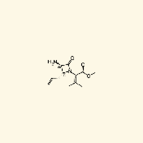 C=CC[C@@H]1[C@@H](N)C(=O)N1C(C(=O)OC)=C(C)C